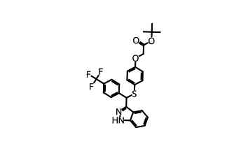 CC(C)(C)OC(=O)COc1ccc(SC(c2ccc(C(F)(F)F)cc2)c2n[nH]c3ccccc23)cc1